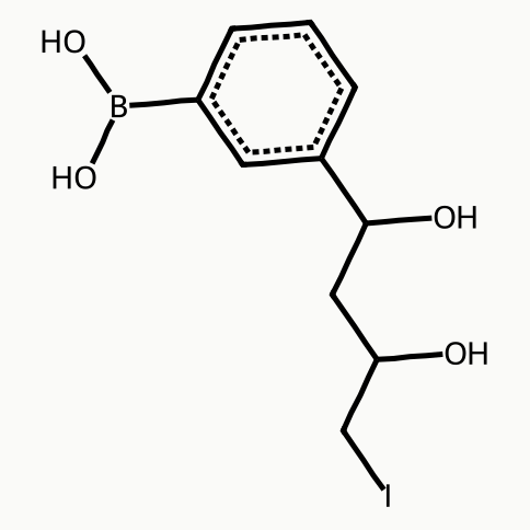 OB(O)c1cccc(C(O)CC(O)CI)c1